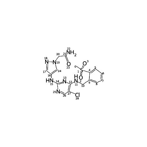 CS(=O)(=O)c1ccccc1CNc1nc(Nc2cnn(CC(N)=O)c2)ncc1Cl